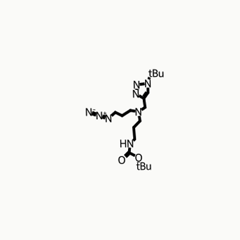 CC(C)(C)OC(=O)NCCCN(CCCN=[N+]=[N-])Cc1cn(C(C)(C)C)nn1